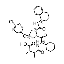 CC(C(=O)N[C@H](C(=O)N1C[C@@H](Oc2cnc(Cl)nc2)C[C@H]1C(=O)N[C@@H]1CCCc2ccccc21)C1CCCCC1)N(C)C(=O)O